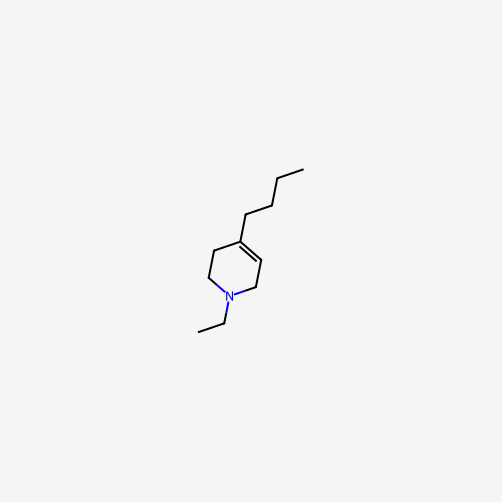 CCCCC1=CCN(CC)CC1